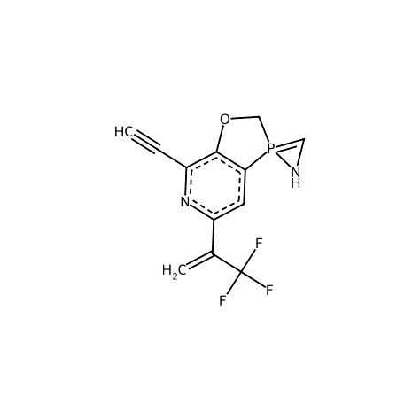 C#Cc1nc(C(=C)C(F)(F)F)cc2c1OCP21=CN1